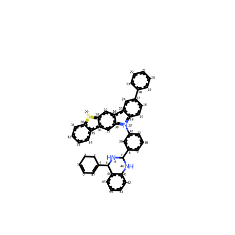 C1=CCCC(C2NC(c3cccc(-n4c5ccc(-c6ccccc6)cc5c5cc6sc7ccccc7c6cc54)c3)Nc3ccccc32)=C1